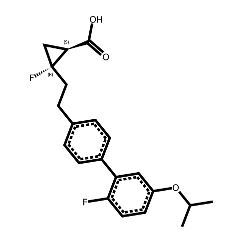 CC(C)Oc1ccc(F)c(-c2ccc(CC[C@@]3(F)C[C@H]3C(=O)O)cc2)c1